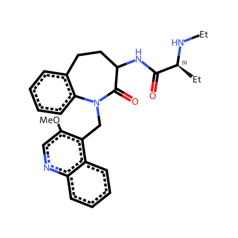 CCN[C@@H](CC)C(=O)NC1CCc2ccccc2N(Cc2c(OC)cnc3ccccc23)C1=O